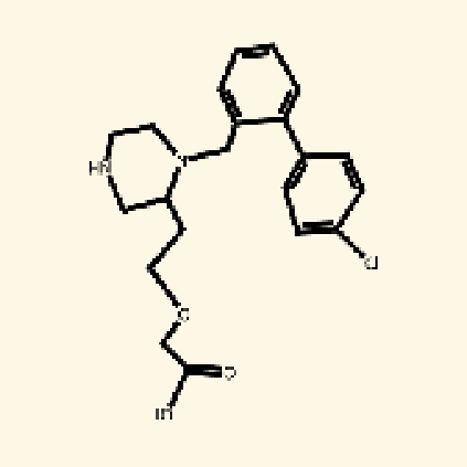 O=C(O)COCCC1CNCCN1Cc1ccccc1-c1ccc(Cl)cc1